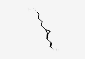 C/C=C/C=C1\CC1CCCCN